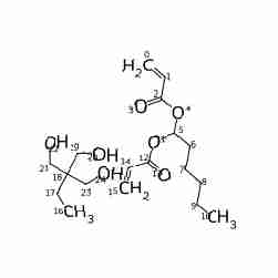 C=CC(=O)OC(CCCCC)OC(=O)C=C.CCC(CO)(CO)CO